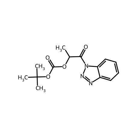 CC(OC(=O)OC(C)(C)C)C(=O)n1nnc2ccccc21